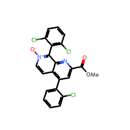 COC(=O)c1cc(-c2ccccc2Cl)c2cc[n+]([O-])c(-c3c(Cl)cccc3Cl)c2n1